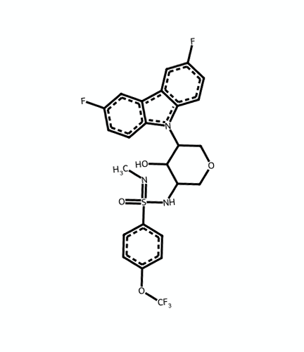 CN=S(=O)(NC1COCC(n2c3ccc(F)cc3c3cc(F)ccc32)C1O)c1ccc(OC(F)(F)F)cc1